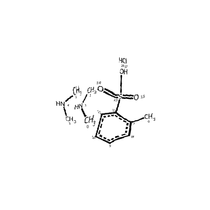 CNC.CNC.Cc1ccccc1S(=O)(=O)O.Cl